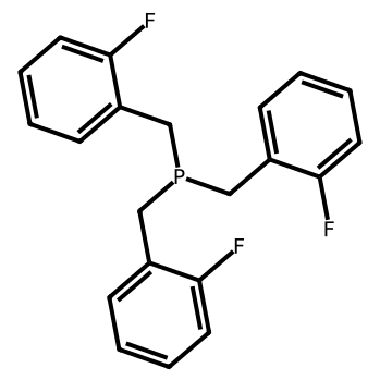 Fc1ccccc1CP(Cc1ccccc1F)Cc1ccccc1F